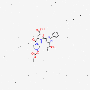 CCOC(=O)ON1CCN(C(=O)C(CCC(=O)O)NC(=O)c2cc([C@@H](O)CC)nc(-c3ccccc3)n2)CC1